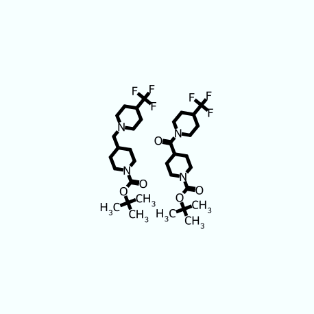 CC(C)(C)OC(=O)N1CCC(C(=O)N2CCC(C(F)(F)F)CC2)CC1.CC(C)(C)OC(=O)N1CCC(CN2CCC(C(F)(F)F)CC2)CC1